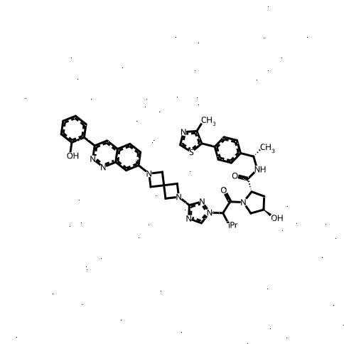 Cc1ncsc1-c1ccc([C@H](C)NC(=O)[C@@H]2C[C@@H](O)CN2C(=O)C(C(C)C)n2cnc(N3CC4(CN(c5ccc6cc(-c7ccccc7O)nnc6c5)C4)C3)n2)cc1